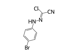 N#CC(Cl)=NNc1ccc(Br)cc1